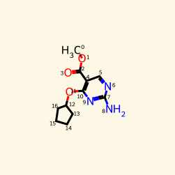 COC(=O)c1cnc(N)nc1OC1CCCC1